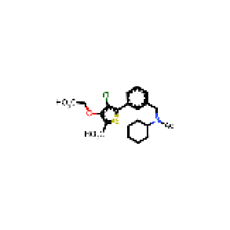 CC(=O)N(Cc1cccc(-c2sc(C(=O)O)c(OCC(=O)O)c2Cl)c1)C1CCCCC1